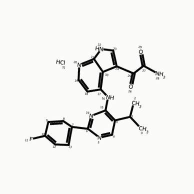 CC(C)c1cnc(-c2ccc(F)cc2)nc1Nc1ccnc2[nH]cc(C(=O)C(N)=O)c12.Cl